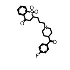 O=C1CC(CCCN2CCC(C(=O)c3ccc(F)cc3)CC2)S(=O)(=O)c2ccccc21